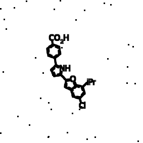 CC(C)c1cc(Cl)cc2cc(-c3ccc(-c4ccc(C(=O)O)cc4)[nH]3)oc12